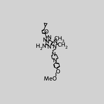 C=C1N(C)c2c(nc(N)n3nc(-c4ccc(C5CC5)o4)nc23)N1CCN1CCN(c2ccc(OCCOC)cc2)CC1